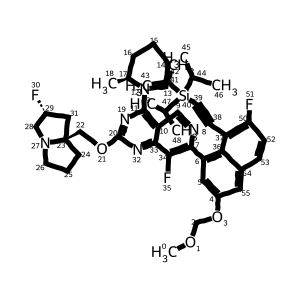 COCOc1cc(-c2ncc3c(N4CCCC[C@@H]4C)nc(OC[C@@]45CCCN4C[C@H](F)C5)nc3c2F)c2c(C#C[Si](C(C)C)(C(C)C)C(C)C)c(F)ccc2c1